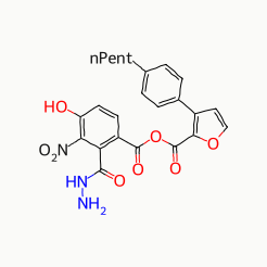 CCCCCc1ccc(-c2ccoc2C(=O)OC(=O)c2ccc(O)c([N+](=O)[O-])c2C(=O)NN)cc1